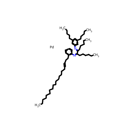 CCCCCCCCCCCCCCCCC#CCCc1ccccc1N=C(CCCCCC)C(CCCCC)=Nc1cc(CCCCC)cc(CCCCC)c1.[Pd]